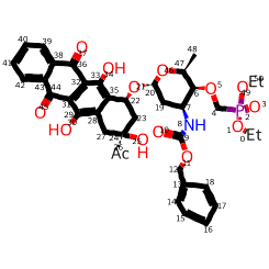 CCOP(=O)(CO[C@H]1[C@@H](NC(=O)OCc2ccccc2)C[C@H](O[C@H]2C[C@](O)(C(C)=O)Cc3c(O)c4c(c(O)c32)C(=O)c2ccccc2C4=O)O[C@H]1C)OCC